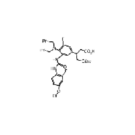 CCOc1ccc(NC(=O)Nc2cc(C(COC)CC(=O)O)cc(F)c2N(CC(C)C)CC(C)C)c(F)c1